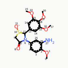 COc1ccc(N2C(=O)C[S+]([O-])C2c2cc(OC)c(OC)c(OC)c2)cc1N